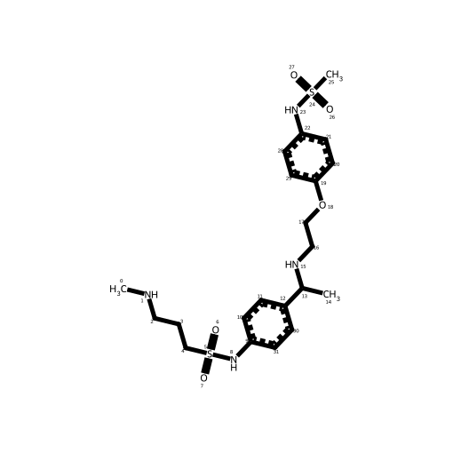 CNCCCS(=O)(=O)Nc1ccc(C(C)NCCOc2ccc(NS(C)(=O)=O)cc2)cc1